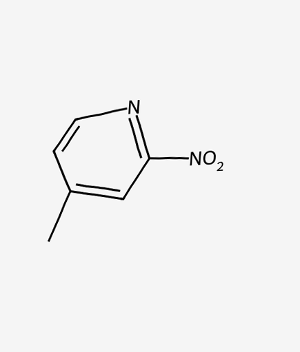 Cc1ccnc([N+](=O)[O-])c1